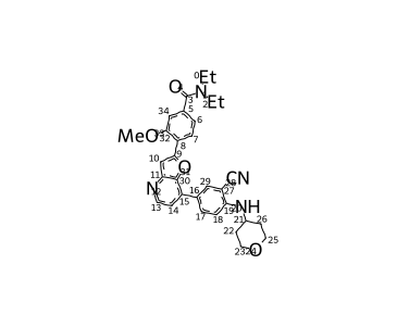 CCN(CC)C(=O)c1ccc(-c2cc3nccc(-c4ccc(NC5CCOCC5)c(C#N)c4)c3o2)c(OC)c1